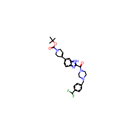 CC(C)(C)OC(=O)N1CC=C(c2ccc3nc(C(=O)N4CCN(Cc5ccc(C(F)F)cc5)CC4)[nH]c3c2)CC1